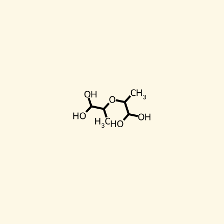 CC(OC(C)C(O)O)C(O)O